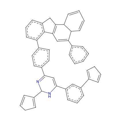 C1=CC2C(c3ccccc3)=CC3=C(Cc4cccc(-c5ccc(C6=NC(C7=CCC=C7)NC(c7cccc(C8=CCC=C8)c7)=C6)cc5)c43)C2C=C1